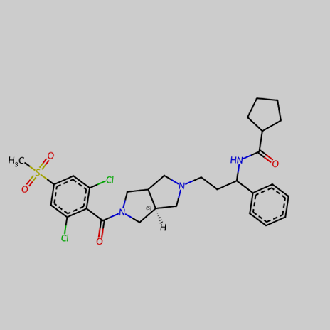 CS(=O)(=O)c1cc(Cl)c(C(=O)N2CC3CN(CCC(NC(=O)C4CCCC4)c4ccccc4)C[C@H]3C2)c(Cl)c1